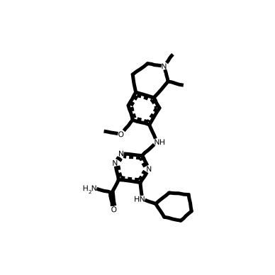 COc1cc2c(cc1Nc1nnc(C(N)=O)c(NC3CCCCC3)n1)C(C)N(C)CC2